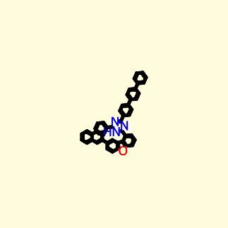 C1=C=C(C2=NC(c3ccc(-c4ccc(-c5ccccc5)cc4)cc3)=NC(c3ccccc3)N2)c2c(oc3ccc(-c4ccc5ccccc5c4)cc23)C=1